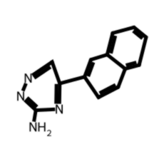 Nc1nncc(-c2ccc3ccccc3c2)n1